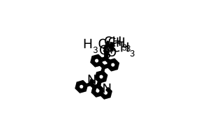 CC1(C)OB(c2c3ccccc3c(-c3ccc4c(c3)nc(-c3ccccc3)c3ccc5cccnc5c34)c3ccccc23)OC1(C)C